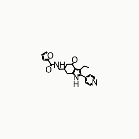 CCc1c(-c2ccncc2)[nH]c2c1C(=O)CC(CNC(=O)c1ccco1)C2